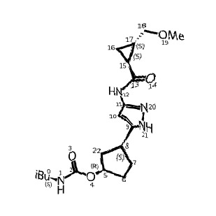 CC[C@H](C)NC(=O)O[C@@H]1CC[C@H](c2cc(NC(=O)[C@H]3C[C@@H]3COC)n[nH]2)C1